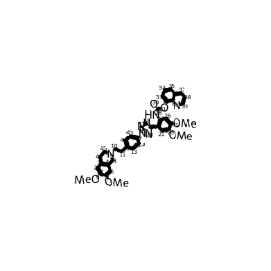 COc1cc2c(cc1OC)CN(CCc1ccc(-n3nnc(-c4cc(OC)c(OC)cc4NC(=O)Oc4cccc5cccnc45)n3)cc1)CC2